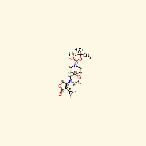 CC(C)(C)OC(=O)N1CCC2(CC1)CN(C1=C(C3CC3)C(=O)OC1)CCO2